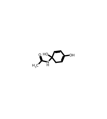 CC(=O)NC1(O)C=CC(O)=CC1